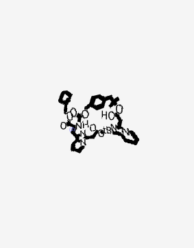 CC(C)(C)OC(=O)Cc1nc(/C=C(\NC(=O)OCc2ccc(CC(C)(C)OC(O)Cc3ncc4ccccn34)cc2)C(=O)OCc2ccccc2)c2ccccn12